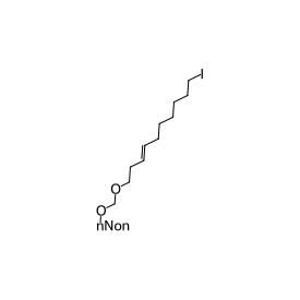 CCCCCCCCCOCOCCC=CCCCCCCI